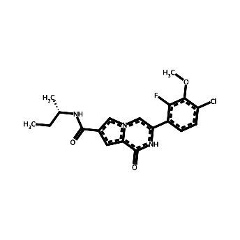 CC[C@H](C)NC(=O)c1cc2c(=O)[nH]c(-c3ccc(Cl)c(OC)c3F)cn2c1